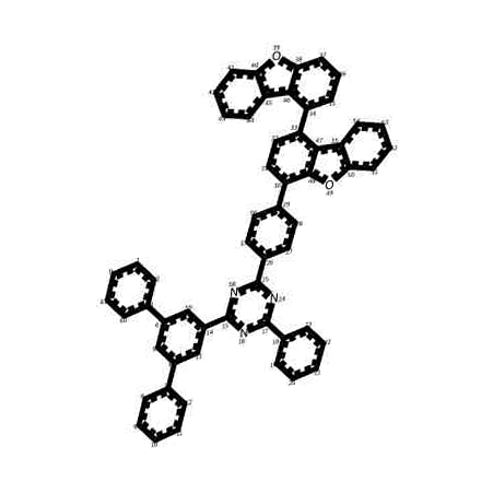 c1ccc(-c2cc(-c3ccccc3)cc(-c3nc(-c4ccccc4)nc(-c4ccc(-c5ccc(-c6cccc7oc8ccccc8c67)c6c5oc5ccccc56)cc4)n3)c2)cc1